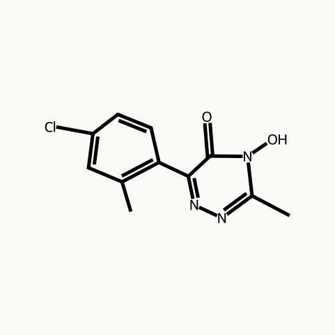 Cc1cc(Cl)ccc1-c1nnc(C)n(O)c1=O